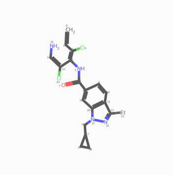 C=C/C(Cl)=C(NC(=O)c1ccc2c(CC)nn(CC3CC3)c2c1)\C(Cl)=C/N